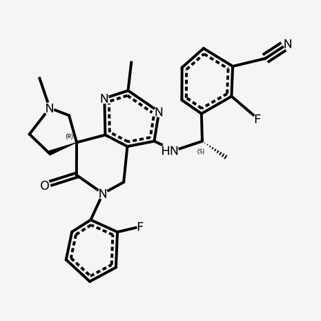 Cc1nc(N[C@@H](C)c2cccc(C#N)c2F)c2c(n1)[C@]1(CCN(C)C1)C(=O)N(c1ccccc1F)C2